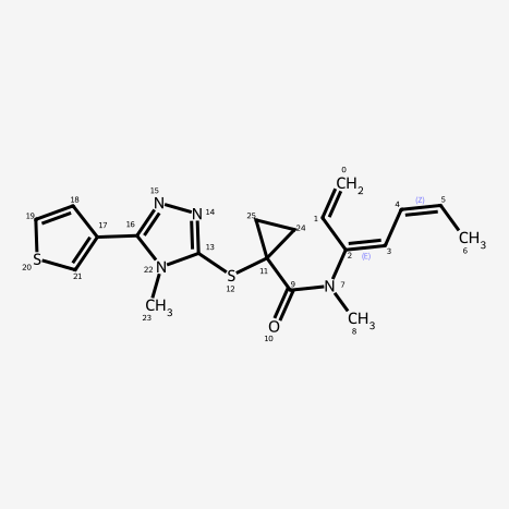 C=C/C(=C\C=C/C)N(C)C(=O)C1(Sc2nnc(-c3ccsc3)n2C)CC1